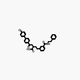 O=C(CC(CCc1cccc(C(=O)NCCc2ccccc2)c1)C(=O)O)c1ccc(-c2ccc(Cl)cc2)cc1